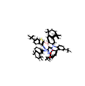 CC(C)(C)c1ccc(-c2cc(C(C)(C)C)ccc2N2c3cc4c(cc3B3c5sc6cc(C(C)(C)C)ccc6c5N(c5ccc6c(c5)C(C)(C)CCC6(C)C)c5nc(C(C)(C)C)nc2c53)C(C)(C)CCC4(C)C)cc1